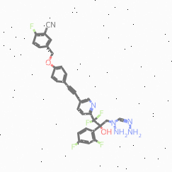 N#Cc1cc(COc2ccc(C#Cc3ccc(C(F)(F)C(O)(CN(N)/C=N\N)c4ccc(F)cc4F)nc3)cc2)ccc1F